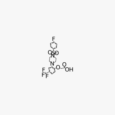 O=C(O)COc1ccc(C(F)(F)F)cc1N1CCN(S(=O)(=O)c2ccc(F)cc2)CC1